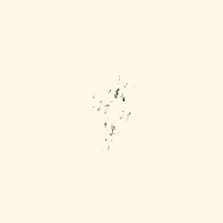 Cc1ccc(Oc2cc3c4c(cc(Oc5ccc(C)cc5)c5c6c(Oc7ccc(C)cc7)cc7c8c(cc(Oc9ccc(C)cc9)c(c2c45)c86)C(=O)N(C(Cc2ccccc2)C(=O)OCC2CO2)C7=O)C(=O)N(C(Cc2ccccc2)C(=O)OCC2CO2)C3=O)cc1